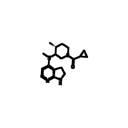 C[C@@H]1CCN(C(=O)C2CC2)CC1N(C)c1ccnc2c1CCN2